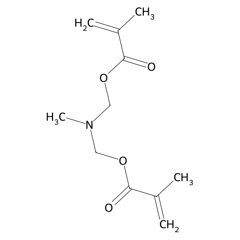 C=C(C)C(=O)OCN(C)COC(=O)C(=C)C